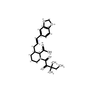 CCC(C)(C)C(=O)C(=O)N1CCCC(C/C=C/c2ccc3c(c2)OCO3)C1C(=O)O